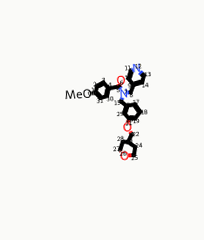 COc1ccc(C(=O)N(Cc2ccncc2)Cc2cccc(OCC3CCOCC3)c2)cc1